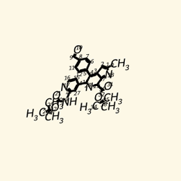 CC1=CC2=C(c3ccc(C=O)cc3)C(c3ccnc(NC(=O)OC(C)(C)C)c3)=NC(C(=O)OC(C)(C)C)C2=N1